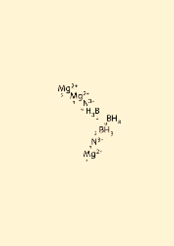 B.B.B.[Mg+2].[Mg+2].[Mg+2].[N-3].[N-3]